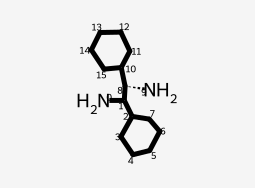 NC(C1CCCCC1)[C@@H](N)C1CCCCC1